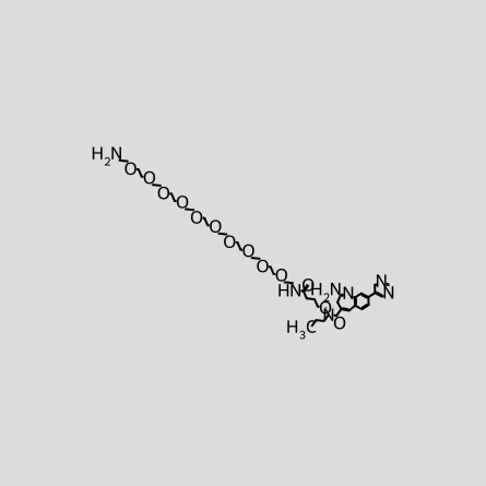 CCCN(OCCCC(=O)NCCOCCOCCOCCOCCOCCOCCOCCOCCOCCOCCN)C(=O)C1=Cc2ccc(-c3cncnc3)cc2N=C(N)C1